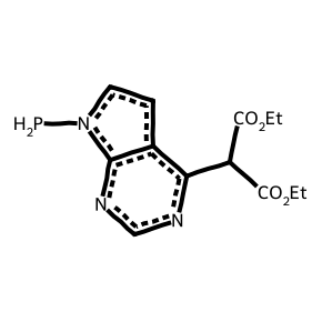 CCOC(=O)C(C(=O)OCC)c1ncnc2c1ccn2P